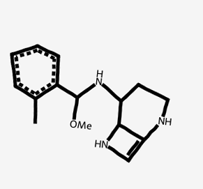 COC(NC1CCNC2=CNC21)c1ccccc1C